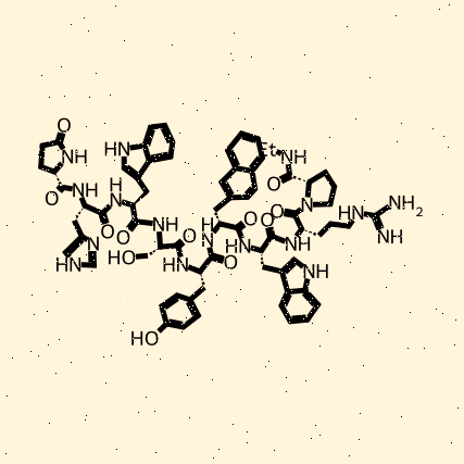 CCNC(=O)[C@@H]1CCCN1C(=O)[C@H](CCCNC(=N)N)NC(=O)[C@H](Cc1c[nH]c2ccccc12)NC(=O)[C@@H](Cc1ccc2ccccc2c1)NC(=O)[C@H](Cc1ccc(O)cc1)NC(=O)[C@H](CO)NC(=O)[C@H](Cc1c[nH]c2ccccc12)NC(=O)[C@H](Cc1c[nH]cn1)NC(=O)[C@@H]1CCC(=O)N1